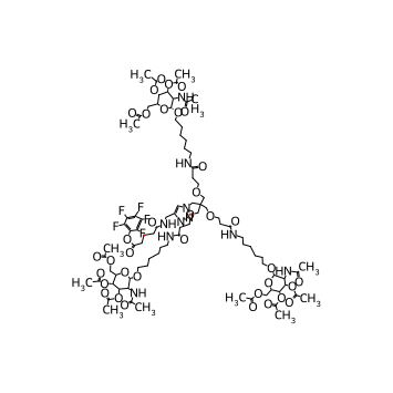 CC(=O)NC1C(OC(C)=O)[C@@H](OC(C)=O)C(COC(C)=O)O[C@H]1OCCCCCCNC(=O)CCOCC(COCCC(=O)NCCCCCCO[C@@H]1OC(COC(C)=O)[C@H](OC(C)=O)C(OC(C)=O)C1NC(C)=O)(COCCC(=O)NCCCCCCO[C@@H]1OC(COC(C)=O)[C@H](OC(C)=O)C(OC(C)=O)C1NC(C)=O)Cn1cc(CNC(=O)CCCC(=O)Oc2c(F)c(F)c(F)c(F)c2F)nn1